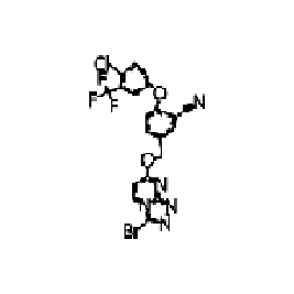 N#Cc1cc(COc2ccn3c(Br)nnc3n2)ccc1Oc1ccc(Cl)c(C(F)(F)F)c1